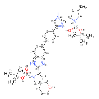 C=C1C[C@@H](c2nc(-c3ccc(-c4ccc5[nH]c([C@@H]6C[C@]7(CCCOC7)CN6C(=O)OC(C)(C)C)nc5c4)cc3)c[nH]2)N(C(=O)OC(C)(C)C)C1